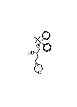 CC(C)(C)[Si](OCC(O)CCN1CCOCC1)(c1ccccc1)c1ccccc1